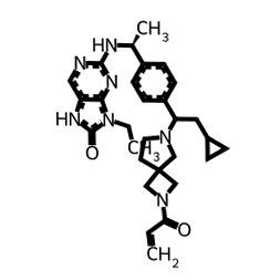 C=CC(=O)N1CC2(CCN(C(CC3CC3)c3ccc([C@H](C)Nc4ncc5[nH]c(=O)n(CC)c5n4)cc3)C2)C1